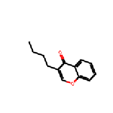 [CH2]CCCc1coc2ccccc2c1=O